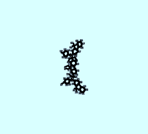 CCC1(CC)c2cc(C(C)(CC)N(c3ccc(C)cc3)c3ccc4c(c3)C(C)(C)c3ccccc3-4)ccc2-c2ccc(C(CC)(CC)N(c3ccc(C)cc3)c3ccc4c(c3)C(C)(C)c3ccccc3-4)cc21